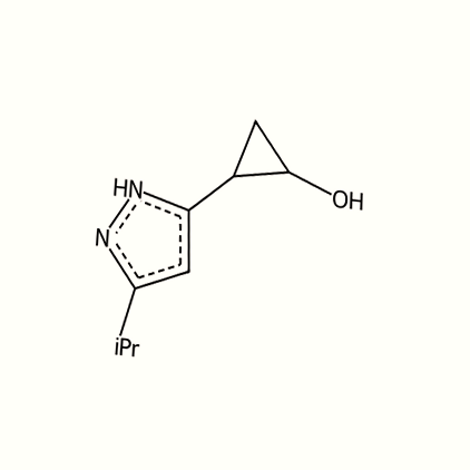 CC(C)c1cc(C2CC2O)[nH]n1